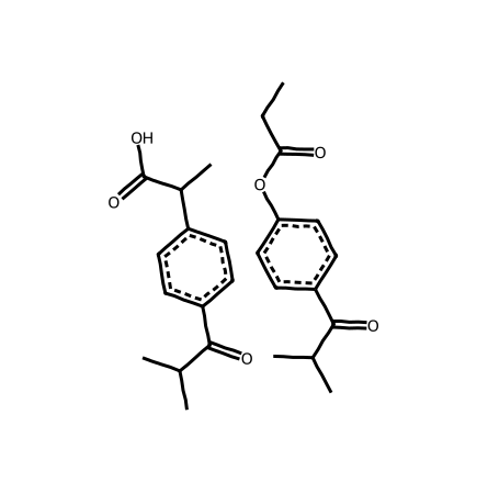 CC(C)C(=O)c1ccc(C(C)C(=O)O)cc1.CCC(=O)Oc1ccc(C(=O)C(C)C)cc1